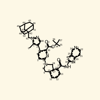 Cc1c(-c2ccc(N3CCc4cccc(C(=O)Nc5nc6ccncc6s5)c4C3)nc2C(=O)OC(C)(C)C)cnn1CC12CC3CC(CC(C3)C1)C2